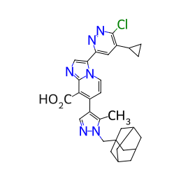 Cc1c(-c2ccn3c(-c4cc(C5CC5)c(Cl)nn4)cnc3c2C(=O)O)cnn1CC12CC3CC(CC(C3)C1)C2